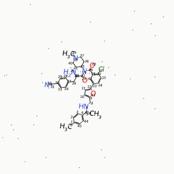 Cc1ccc([C@@H](C)NCc2ccc(-c3ccc(Cl)c(C(=O)N(C(=O)[C@H](N)Cc4ccc(C#N)cc4)C4CCN(C)CC4)c3)o2)cc1